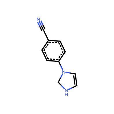 N#Cc1ccc(N2C=CNC2)cc1